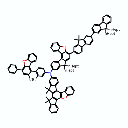 CCCCCCCC1(CCCCCCC)c2ccccc2-c2ccc(-c3ccc4c(c3)C(C)(C)c3cc(-c5cc6c(c7c5oc5ccccc57)-c5ccc(N(c7ccc(-c8c(CC)cc(-c9ccccc9)c9oc%10ccccc%10c89)c(CC)c7)c7ccc8c(c7)C(C)(C)c7c9c(c%10oc%11ccccc%11c%10c7-8)-c7ccccc7C9(C)C)cc5C6(CCCCCCC)CCCCCCC)ccc3-4)cc21